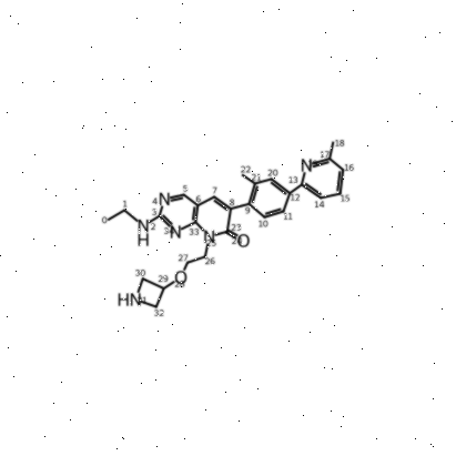 CCNc1ncc2cc(-c3ccc(-c4cccc(C)n4)cc3C)c(=O)n(CCOC3CNC3)c2n1